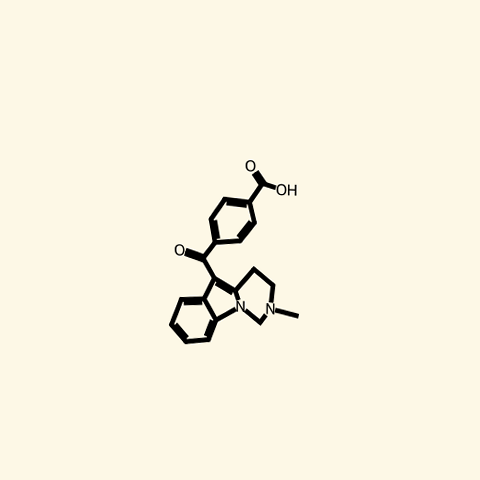 CN1CCc2c(C(=O)c3ccc(C(=O)O)cc3)c3ccccc3n2C1